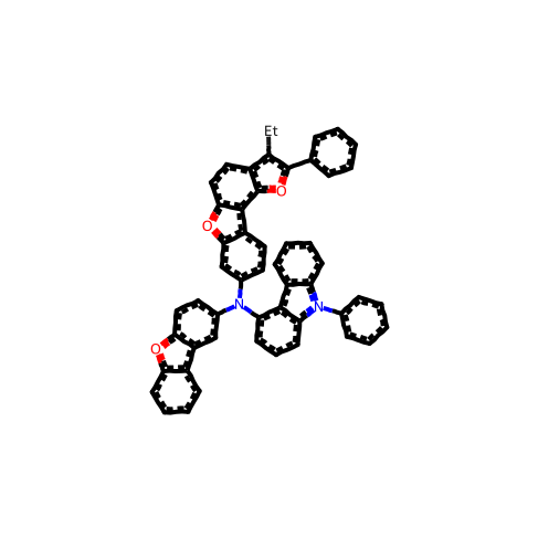 CCc1c(-c2ccccc2)oc2c1ccc1oc3cc(N(c4ccc5oc6ccccc6c5c4)c4cccc5c4c4ccccc4n5-c4ccccc4)ccc3c12